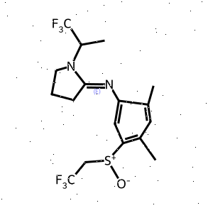 Cc1cc(C)c([S+]([O-])CC(F)(F)F)cc1/N=C1\CCCN1C(C)C(F)(F)F